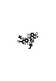 CCC1CC(n2cc([C@@H](Nc3cc(Cl)c4ncc(C#N)c(NCC(C)(C)C)c4c3)c3cccc4c(=O)n(C)ccc34)nn2)C1